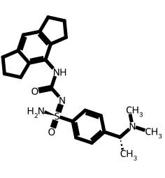 C[C@H](c1ccc([S@](N)(=O)=NC(=O)Nc2c3c(cc4c2CCC4)CCC3)cc1)N(C)C